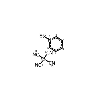 CC[n+]1ccccc1.N#C[B-](C#N)(C#N)C#N